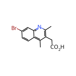 Cc1nc2cc(Br)ccc2c(C)c1CC(=O)O